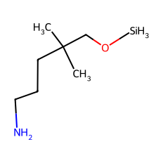 CC(C)(CCCN)CO[SiH3]